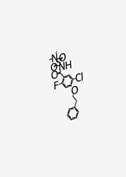 CN(C)S(=O)(=O)NC(=O)c1cc(Cl)c(OCCc2ccccc2)cc1F